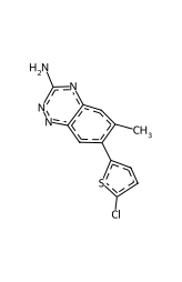 Cc1cc2nc(N)nnc2cc1-c1ccc(Cl)s1